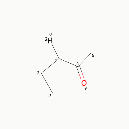 [2H]C(CC)C(C)=O